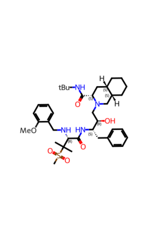 COc1ccccc1CN[C@H](C(=O)N[C@@H](Cc1ccccc1)[C@H](O)CN1C[C@H]2CCCC[C@H]2C[C@H]1C(=O)NC(C)(C)C)C(C)(C)S(C)(=O)=O